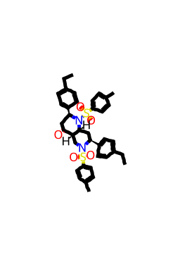 CCc1ccc([C@@H]2C[C@H]3[C@@H](CN2S(=O)(=O)c2ccc(C)cc2)C(=O)C[C@@H](c2ccc(CC)cc2)N3S(=O)(=O)c2ccc(C)cc2)cc1